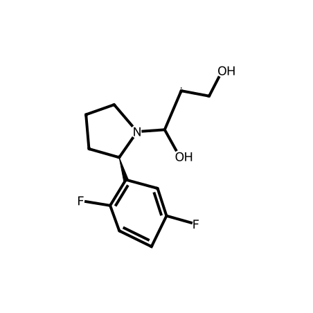 OC[CH]C(O)N1CCC[C@@H]1c1cc(F)ccc1F